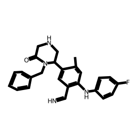 Cc1cc(Nc2ccc(F)cc2)c(C=N)cc1C1CNCC(=O)N1Cc1ccccc1